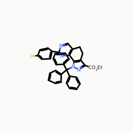 CCOC(=O)c1nn(C(c2ccccc2)(c2ccccc2)c2ccccc2)c2c1CCc1cnc(-c3ccc(F)cc3)nc1-2